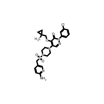 CC1(COc2c(N3CCN(S(=O)(=O)Cc4ccc(N)nc4)CC3)cnn(-c3cccc(Cl)c3)c2=O)CC1